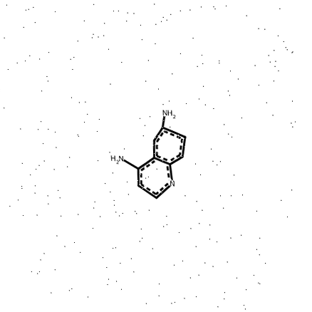 Nc1ccc2nccc(N)c2c1